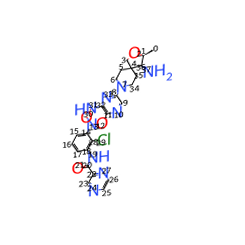 C[C@@H]1OCC2(CCN(c3cnc4on(-c5cccc(NC(=O)c6cnccn6)c5Cl)o[nH]c4n3)CC2)[C@@H]1N